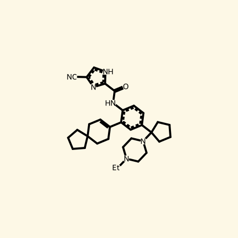 CCN1CCN(C2(c3ccc(NC(=O)c4nc(C#N)c[nH]4)c(C4=CCC5(CCCC5)CC4)c3)CCCC2)CC1